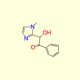 Cn1ccnc1C(O)C(=O)c1ccccc1